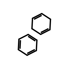 C1=CCC=CC1.c1ccccc1